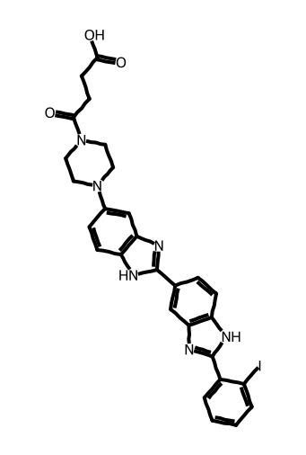 O=C(O)CCC(=O)N1CCN(c2ccc3[nH]c(-c4ccc5[nH]c(-c6ccccc6I)nc5c4)nc3c2)CC1